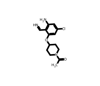 CC(=O)N1CCC(Oc2cc(Cl)cc(N)c2C=N)CC1